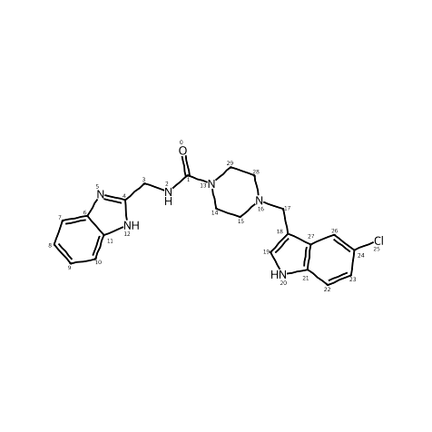 O=C(NCc1nc2ccccc2[nH]1)N1CCN(Cc2c[nH]c3ccc(Cl)cc23)CC1